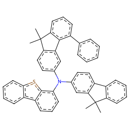 CC1(C)c2ccccc2-c2ccc(N(c3ccc4c(c3)-c3c(-c5ccccc5)cccc3C4(C)C)c3cccc4c3sc3ccccc34)cc21